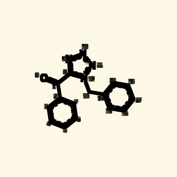 O=C(c1ccccc1)c1nnnn1Cc1ccccc1